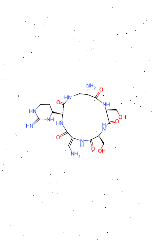 N=C1NCCC([C@@H]2NC(=O)/C(=C/N)NC(=O)[C@H](CO)NC(=O)[C@H](CO)NC(=O)[C@@H](N)CNC2=O)N1